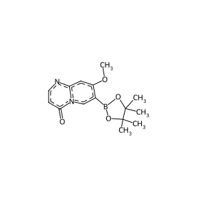 COc1cc2nccc(=O)n2cc1B1OC(C)(C)C(C)(C)O1